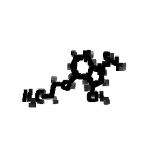 CCCOc1ccnc2c1c(C)cn2SI